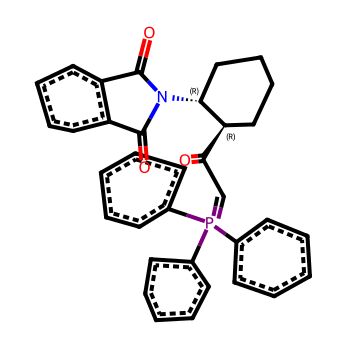 O=C(C=P(c1ccccc1)(c1ccccc1)c1ccccc1)[C@@H]1CCCC[C@H]1N1C(=O)c2ccccc2C1=O